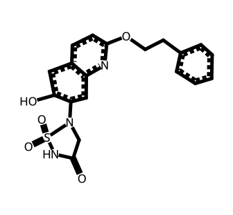 O=C1CN(c2cc3nc(OCCc4ccccc4)ccc3cc2O)S(=O)(=O)N1